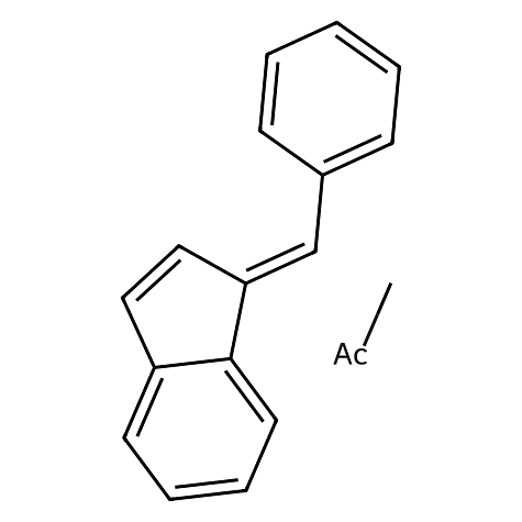 C1=Cc2ccccc2C1=Cc1ccccc1.CC(C)=O